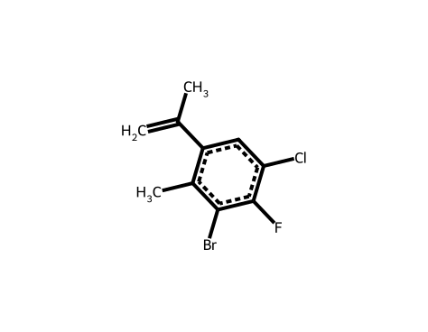 C=C(C)c1cc(Cl)c(F)c(Br)c1C